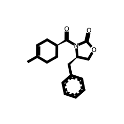 CC1=CC[C@@H](C(=O)N2C(=O)OC[C@H]2Cc2ccccc2)CC1